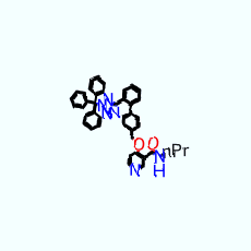 CCCNC(=O)c1cnccc1OCc1ccc(-c2ccccc2-c2nnn(C(c3ccccc3)(c3ccccc3)c3ccccc3)n2)cc1